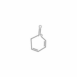 [O]=[Pb]1[CH]=CC=C[CH2]1